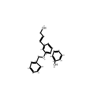 OCC=Cc1cccc(OCc2ccccc2)c1.Oc1ccccc1